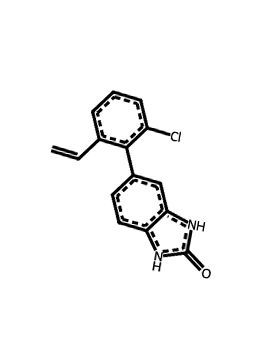 C=Cc1cccc(Cl)c1-c1ccc2[nH]c(=O)[nH]c2c1